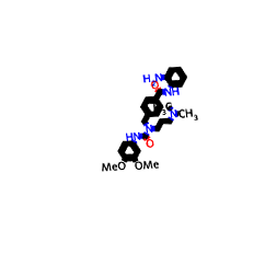 COc1ccc(NC(=O)N(CCCN(C)C)Cc2ccc(C(=O)Nc3ccccc3N)cc2)cc1OC